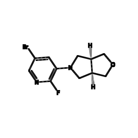 Fc1ncc(Br)cc1N1C[C@H]2COC[C@H]2C1